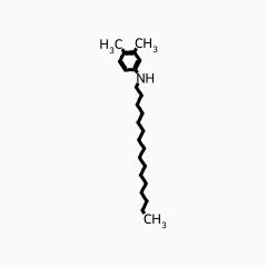 CCCCCCCCCCCCCCCCNc1ccc(C)c(C)c1